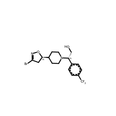 OC[C@H](c1ccc(C(F)(F)F)cc1)N1CCC([C@H]2CC(Br)=NO2)CC1